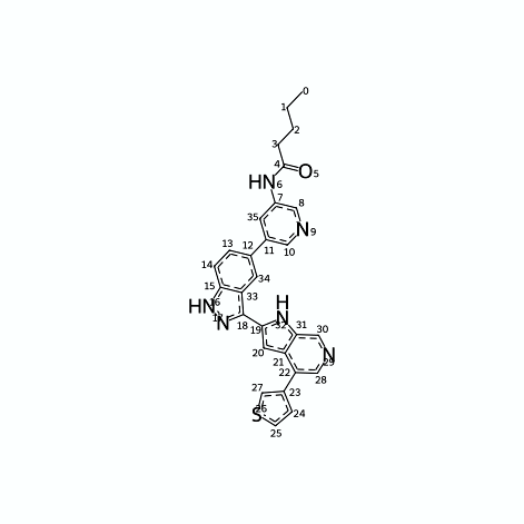 CCCCC(=O)Nc1cncc(-c2ccc3[nH]nc(-c4cc5c(-c6ccsc6)cncc5[nH]4)c3c2)c1